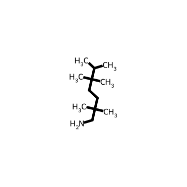 CC(C)C(C)(C)CCC(C)(C)CN